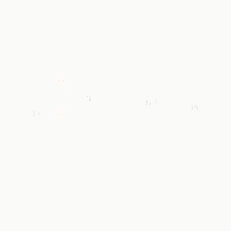 CC(C)c1ccccc1NC1CC2CC1CN2C(=O)OC(C)(C)C